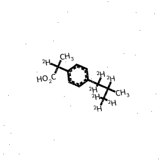 [2H]C(C)(C(=O)O)c1ccc(C([2H])([2H])C([2H])(C)C([2H])([2H])[2H])cc1